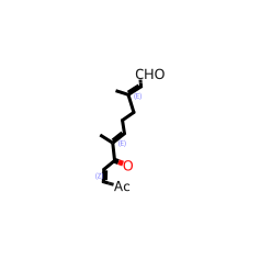 CC(=O)/C=C\C(=O)/C(C)=C/CC/C(C)=C/C=O